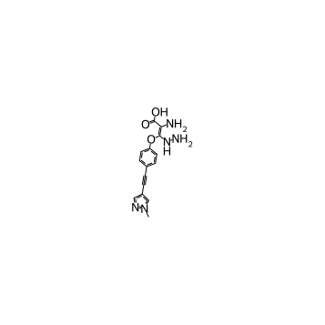 Cn1cc(C#Cc2ccc(O/C(NN)=C(/N)C(=O)O)cc2)cn1